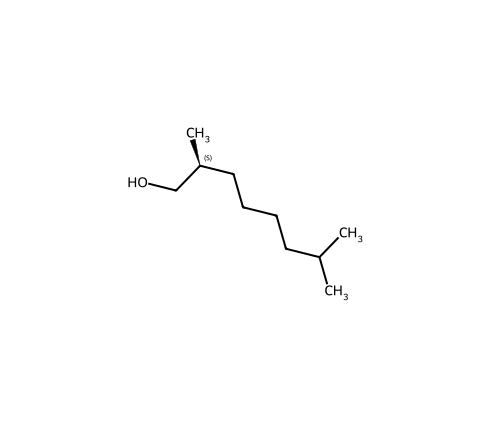 CC(C)CCCC[C@H](C)CO